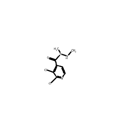 CNN(C)C(=O)c1ccnc(Cl)c1Cl